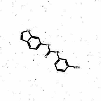 CCCCc1cccc(NC(=O)Nc2ccc3cc[nH]c3c2)c1